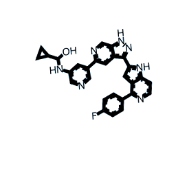 OC(Nc1cncc(-c2cc3c(-c4cc5c(-c6ccc(F)cc6)nccc5[nH]4)n[nH]c3cn2)c1)C1CC1